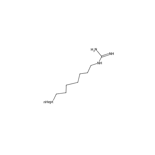 CCCCCCCCCCCCCCNC(=N)N